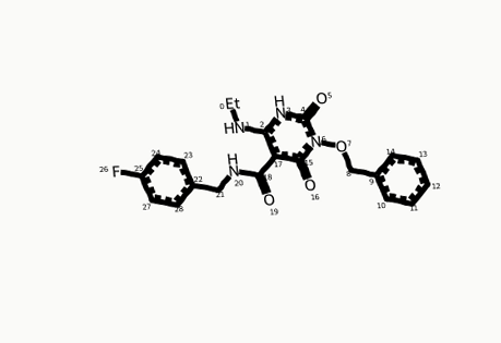 CCNc1[nH]c(=O)n(OCc2ccccc2)c(=O)c1C(=O)NCc1ccc(F)cc1